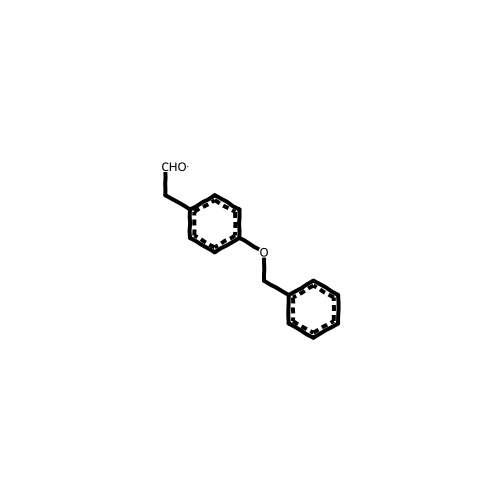 O=[C]Cc1ccc(OCc2ccccc2)cc1